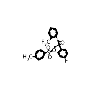 Cc1ccc(S(=O)(=O)OC[C@]2(c3ccc(F)cc3)O[C@H]2c2ccccc2C(F)(F)F)cc1